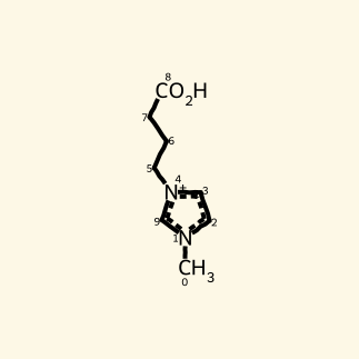 Cn1cc[n+](CCCC(=O)O)c1